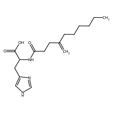 C=C(CCCCCC)CCC(=O)NC(Cc1c[nH]cn1)C(=O)O